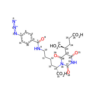 [N-]=[N+]=Nc1ccc(C(=O)NCCCC[C@@H](C(=O)O)N2C(=O)NC(=O)C([C@H](CCC(=O)O)C(=O)O)C2=O)cc1